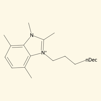 CCCCCCCCCCCCC[n+]1c(C)n(C)c2c(C)ccc(C)c21